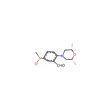 C[C@@H]1CN(c2ccc([S+](C)[O-])cc2C=O)C[C@H](C)O1